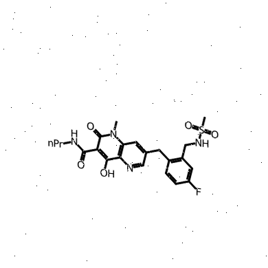 CCCNC(=O)c1c(O)c2ncc(Cc3ccc(F)cc3CNS(C)(=O)=O)cc2n(C)c1=O